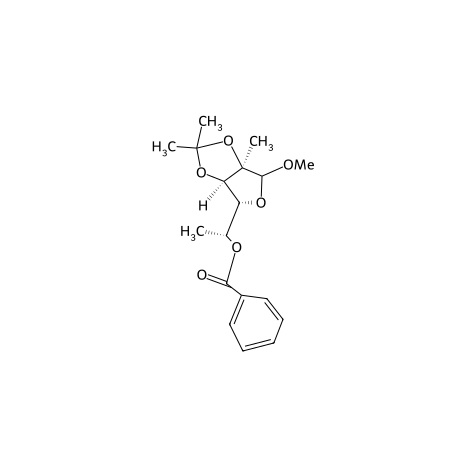 COC1O[C@H]([C@@H](C)OC(=O)c2ccccc2)[C@H]2OC(C)(C)O[C@@]12C